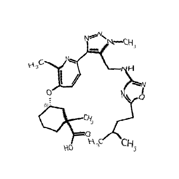 Cc1nc(-c2nnn(C)c2CNc2noc(CCC(C)C)n2)ccc1O[C@H]1CCCC(C)(C(=O)O)C1